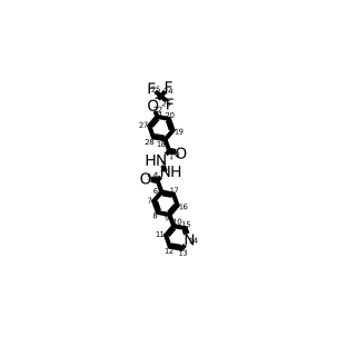 O=C(NNC(=O)c1ccc(-c2cccnc2)cc1)c1ccc(OC(F)(F)F)cc1